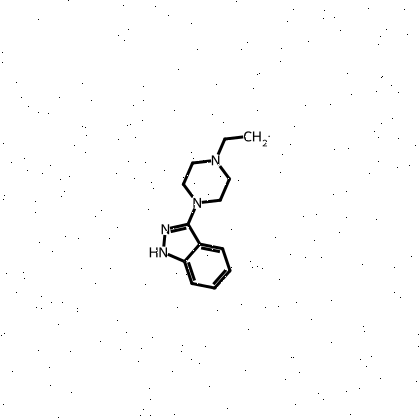 [CH2]CN1CCN(c2n[nH]c3ccccc23)CC1